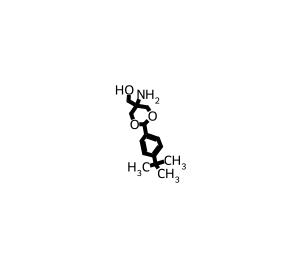 CC(C)(C)c1ccc(C2OCC(N)(CO)CO2)cc1